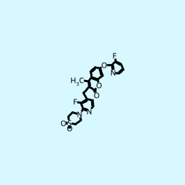 Cc1c(Cc2ccnc(N3CCS(=O)(=O)CC3)c2F)c(=O)oc2cc(Oc3ncccc3F)ccc12